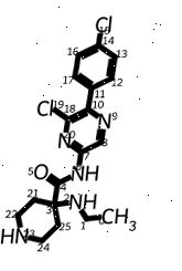 CCNC1(C(=O)Nc2cnc(-c3ccc(Cl)cc3)c(Cl)n2)CCNCC1